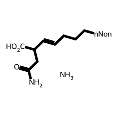 CCCCCCCCCCCC/C=C/C(CC(N)=O)C(=O)O.N